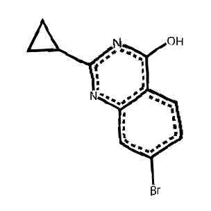 Oc1nc(C2CC2)nc2cc(Br)ccc12